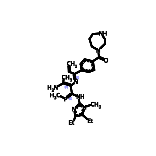 C=C\C(=N/C(C(/Nc1nc(CC)c(CC)n1C)=P\C)=C(\C)N)c1ccc(C(=O)N2CCCNCC2)cc1